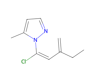 C=C(/C=C(/Cl)n1nccc1C)CC